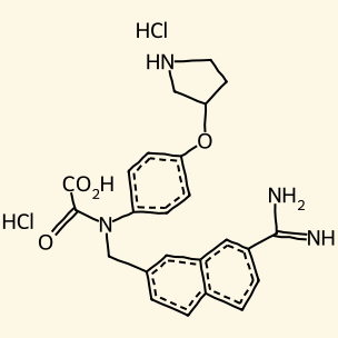 Cl.Cl.N=C(N)c1ccc2ccc(CN(C(=O)C(=O)O)c3ccc(OC4CCNC4)cc3)cc2c1